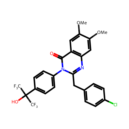 COc1cc2nc(Cc3ccc(Cl)cc3)n(-c3ccc(C(O)(C(F)(F)F)C(F)(F)F)cc3)c(=O)c2cc1OC